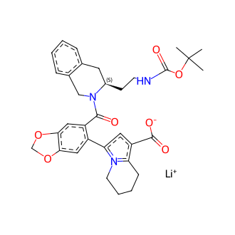 CC(C)(C)OC(=O)NCC[C@@H]1Cc2ccccc2CN1C(=O)c1cc2c(cc1-c1cc(C(=O)[O-])c3n1CCCC3)OCO2.[Li+]